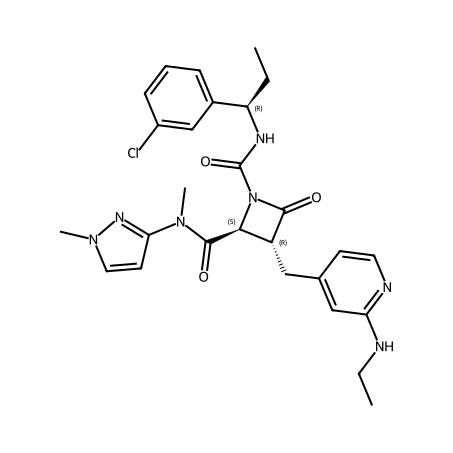 CCNc1cc(C[C@H]2C(=O)N(C(=O)N[C@H](CC)c3cccc(Cl)c3)[C@@H]2C(=O)N(C)c2ccn(C)n2)ccn1